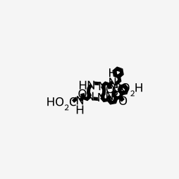 O=C(O)CNC(=O)CN1CCNCCN(CC(=O)N[C@@H](Cc2ccccc2)C(=O)O)CCN(Cc2ccc3c(=O)c4ccccc4sc3n2)CC1